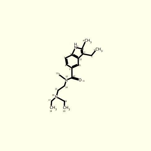 CCc1c(C)[nH]c2ccc(C(=O)N(I)CCN(CC)CC)cc12